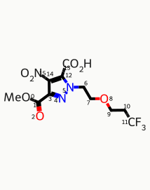 COC(=O)c1nn(CCOCCC(F)(F)F)c(C(=O)O)c1[N+](=O)[O-]